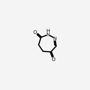 O=C1C=NNC(=O)CC1